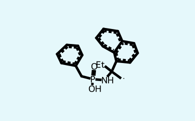 [CH2]C(CC)(NP(=O)(O)Cc1ccccc1)c1cccc2ccccc12